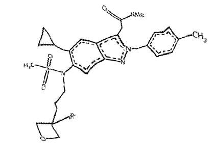 CNC(=O)c1c2cc(C3CC3)c(N(CCC3(C(C)C)COC3)S(C)(=O)=O)cc2nn1-c1ccc(C)cc1